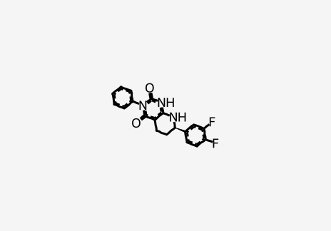 O=c1[nH]c2c(c(=O)n1-c1ccccc1)CC[C@H](c1ccc(F)c(F)c1)N2